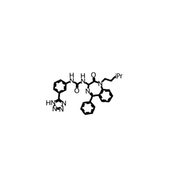 CC(C)CCN1C(=O)C(NC(=O)Nc2cccc(-c3nnn[nH]3)c2)N=C(c2ccccc2)c2ccccc21